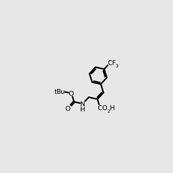 CC(C)(C)OC(=O)NCC(=Cc1cccc(C(F)(F)F)c1)C(=O)O